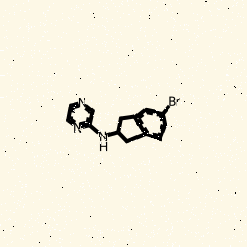 Brc1ccc2c(c1)CC(Nc1cnccn1)C2